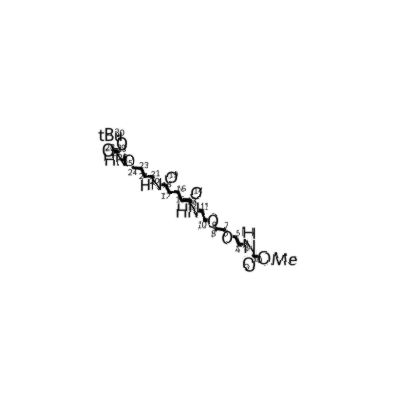 COC(=O)NCCOCCOCCNC(=O)CCCC(=O)NCCCCONC(=O)OC(C)(C)C